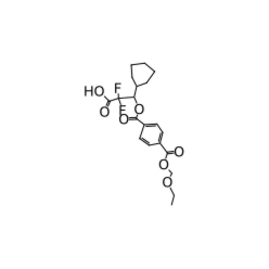 CCOCOC(=O)c1ccc(C(=O)OC(C2CCCCC2)C(F)(F)C(=O)O)cc1